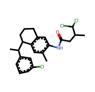 Cc1cc2c(cc1NC(=O)CC(C)C(Cl)Cl)CCCC2C(C)c1cccc(Cl)c1